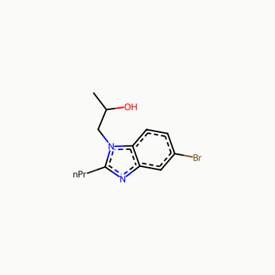 CCCc1nc2cc(Br)ccc2n1CC(C)O